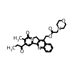 CCC(=O)c1cc2n(c(=O)c1C)Cc1c-2nc2ccccc2c1COC(=O)CN1CCOCC1